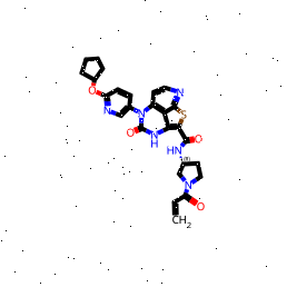 C=CC(=O)N1CC[C@@H](NC(=O)c2sc3nccc4c3c2NC(=O)N4c2ccc(OC3CCCC3)nc2)C1